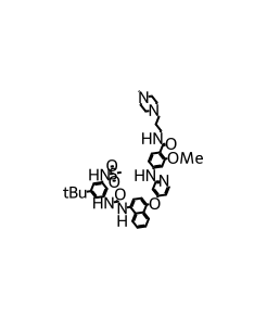 COc1cc(Nc2cc(Oc3ccc(NC(=O)Nc4cc(NS(C)(=O)=O)cc(C(C)(C)C)c4)c4ccccc34)ccn2)ccc1C(=O)NCCCN1CCN(C)CC1